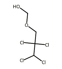 OCOCC(Cl)(Cl)C(Cl)Cl